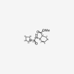 COC(=O)C1CCC=CC1NC(=O)N1CCCC1